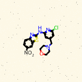 O=[N+]([O-])c1ccc2nc(Nc3cc(CN4CCOCC4)cc(Cl)n3)sc2c1